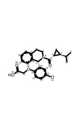 CC(C)[C@@H]1C[C@H]1C(=O)N1CCc2ccccc2[C@H]1c1cc(Cl)ccc1OCC(=O)O